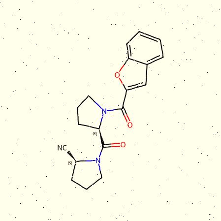 N#C[C@@H]1CCCN1C(=O)[C@H]1CCCN1C(=O)c1cc2ccccc2o1